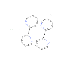 Cl.Cl.[Os].c1ccc(-c2ccccn2)nc1.c1ccc(-c2ccccn2)nc1